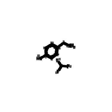 FC(F)F.NCc1ccc(S)cc1